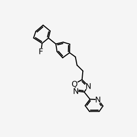 Fc1ccccc1-c1ccc(CCCc2nc(-c3ccccn3)no2)cc1